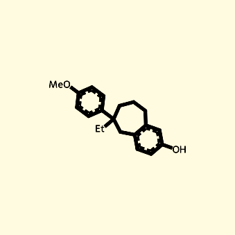 CCC1(c2ccc(OC)cc2)CCCc2cc(O)ccc2C1